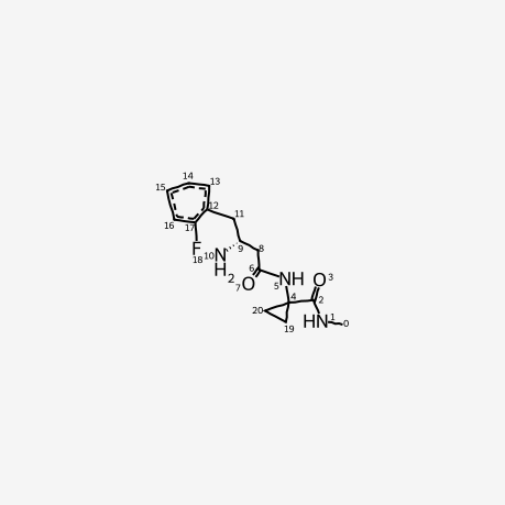 CNC(=O)C1(NC(=O)C[C@H](N)Cc2ccccc2F)CC1